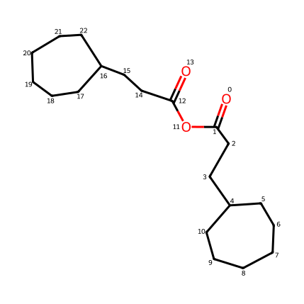 O=C(CCC1CCCCCC1)OC(=O)CCC1CCCCCC1